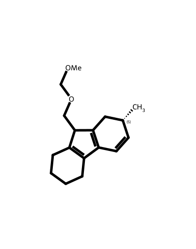 COCOCC1C2=C(C=C[C@@H](C)C2)C2=C1CCCC2